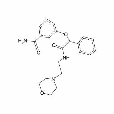 NC(=O)c1cccc(OC(C(=O)NCCN2CCOCC2)c2ccccc2)c1